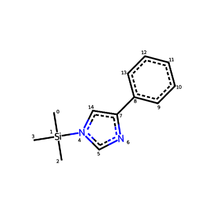 C[Si](C)(C)n1cnc(-c2ccccc2)c1